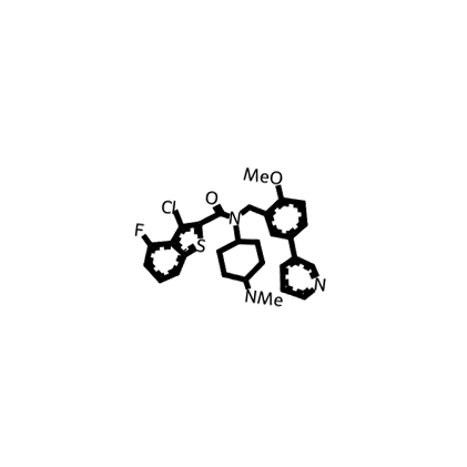 CNC1CCC(N(Cc2cc(-c3cccnc3)ccc2OC)C(=O)c2sc3cccc(F)c3c2Cl)CC1